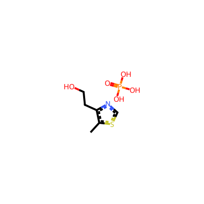 Cc1scnc1CCO.O=P(O)(O)O